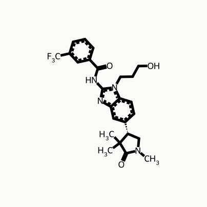 CN1C[C@@H](c2ccc3c(c2)nc(NC(=O)c2cccc(C(F)(F)F)c2)n3CCCO)C(C)(C)C1=O